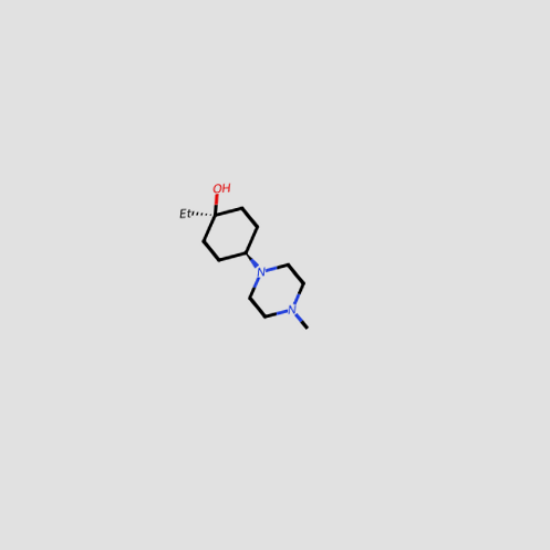 CC[C@]1(O)CC[C@@H](N2CCN(C)CC2)CC1